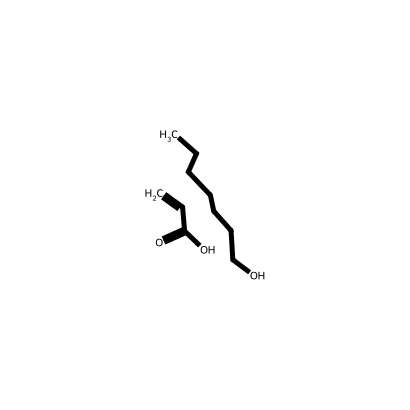 C=CC(=O)O.CCCCCCCO